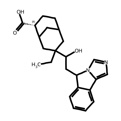 CCC1(C(O)CC2c3ccccc3-c3cncn32)CC2CC[C@@H](C(=O)O)C(C2)C1